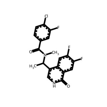 CC(c1c[nH]c(=O)c2cc(F)c(F)cc12)N(C)C(=O)c1ccc(Cl)c(F)c1